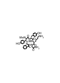 CN[C@@H](Cc1ccc(O)cc1)C(=O)N[C@@H](Cc1ccc(O)cc1)C(=O)N[C@@H](CCCCN)C(=O)N[C@@H](Cc1c[nH]c2ccccc12)C(N)=O